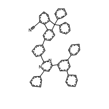 N#Cc1cccc2c1-c1cc(-c3cccc(-c4nc(-c5ccccc5)cc(-c5cc(-c6ccccc6)cc(-c6ccccc6)c5)n4)c3)ccc1C2(c1ccccc1)c1ccccc1